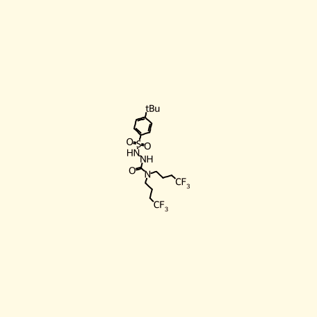 CC(C)(C)c1ccc(S(=O)(=O)NNC(=O)N(CCCC(F)(F)F)CCCC(F)(F)F)cc1